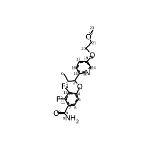 CCC(Oc1ccc(C(N)=O)c(F)c1F)c1ccc(OCCOC)cn1